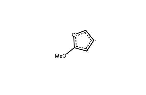 COc1c[c]co1